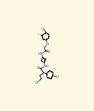 O=C(COc1ccc(Cl)c(F)c1)NC12CC(NC(=O)C(CCCl)c3ccc(Cl)cc3)(C1)C2